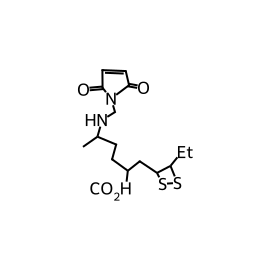 CCC1SSC1CC(CCC(C)NCN1C(=O)C=CC1=O)C(=O)O